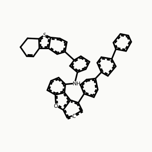 C1=Cc2c(sc3ccc(-c4cccc(Nc5cccc6oc7cccc(-c8ccc(-c9ccc(-c%10ccccc%10)cc9)cc8)c7c56)c4)cc23)CC1